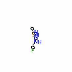 Fc1ccc(CCCNC2CCN(c3ncnc4c(-c5ccccc5)csc34)CC2)cc1